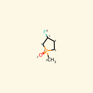 CP1(=O)CCC(F)C1